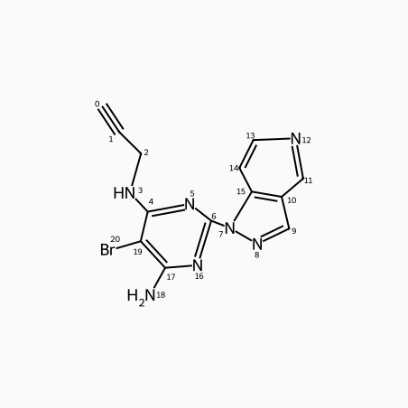 C#CCNc1nc(-n2ncc3cnccc32)nc(N)c1Br